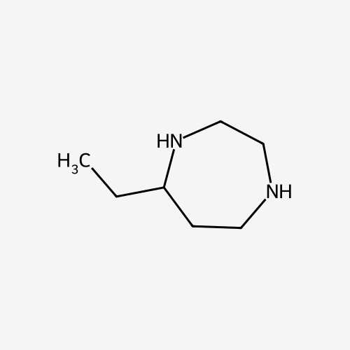 CCC1CCNCCN1